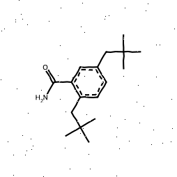 CC(C)(C)Cc1ccc(CC(C)(C)C)c(C(N)=O)c1